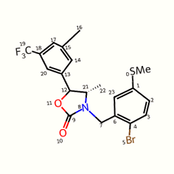 CSc1ccc(Br)c(CN2C(=O)OC(c3cc(C)cc(C(F)(F)F)c3)[C@@H]2C)c1